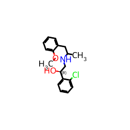 COc1ccccc1CC(C)NC[C@H](O)c1ccccc1Cl